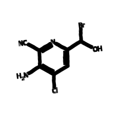 N#Cc1nc(C(O)Br)cc(Cl)c1N